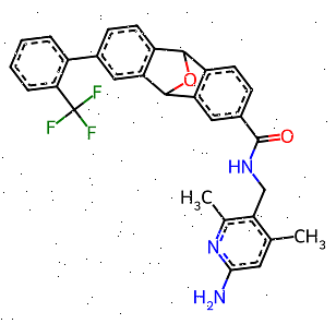 Cc1cc(N)nc(C)c1CNC(=O)c1ccc2c(c1)C1OC2c2ccc(-c3ccccc3C(F)(F)F)cc21